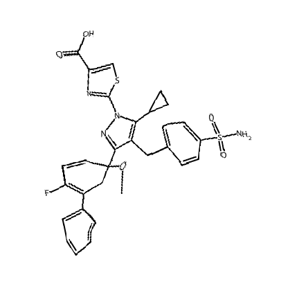 COC1(c2nn(-c3nc(C(=O)O)cs3)c(C3CC3)c2Cc2ccc(S(N)(=O)=O)cc2)C=CC(F)=C(c2ccccc2)C1